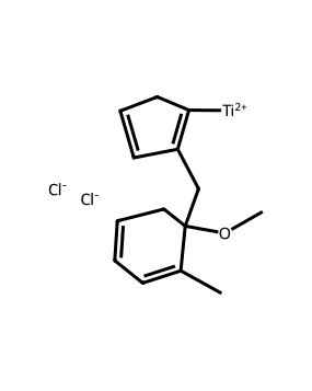 COC1(CC2=[C]([Ti+2])CC=C2)CC=CC=C1C.[Cl-].[Cl-]